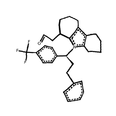 O=CCC1CCCc2c3c(n([C@@H](CCc4ccccc4)c4ccc(C(F)(F)F)cc4)c21)CCCC3